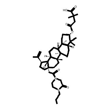 C=C(C)[C@@H]1CC[C@]2(CC(=O)N3CCN(CCC)C(=O)C3)CC[C@]3(C)[C@H](CC[C@@H]4[C@@]5(C)CC[C@H](OC(=O)CC(C)(C)C(=O)O)C(C)(C)[C@@H]5CC[C@]43C)[C@@H]12